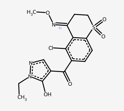 CCn1ncc(C(=O)c2ccc3c(c2Cl)/C(=N/OC)CCS3(=O)=O)c1O